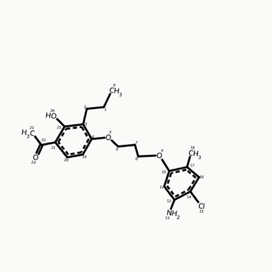 CCCc1c(OCCCOc2cc(N)c(Cl)cc2C)ccc(C(C)=O)c1O